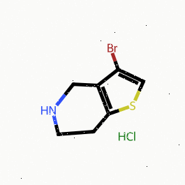 Brc1csc2c1CNCC2.Cl